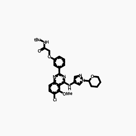 COc1c(Cl)ccc2nc(-c3cccc(OCC(=O)NC(C)(C)C)c3)nc(Nc3cnn(C4CCCCO4)c3)c12